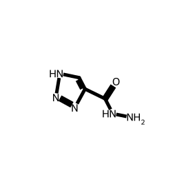 NNC(=O)c1c[nH]nn1